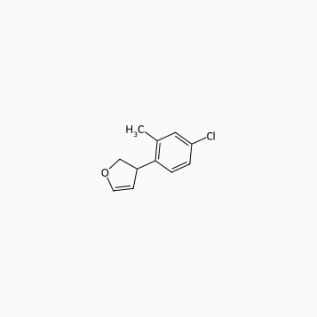 Cc1cc(Cl)ccc1C1C=COC1